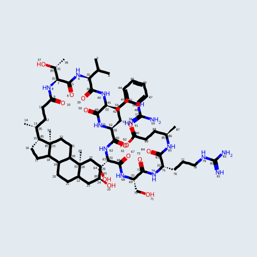 CC(C)[C@H](NC(=O)[C@@H](NC(=O)CC[C@@H](C)[C@H]1CCC2C3CCC4C[C@H](O)CC[C@]4(C)C3CC[C@@]21C)[C@@H](C)O)C(=O)N[C@@H](Cc1ccccc1)C(=O)N[C@@H](CCCNC(=N)N)C(=O)N[C@@H](CO)C(=O)N[C@@H](CO)C(=O)N[C@@H](CCCNC(=N)N)C(=O)N[C@H](C)CCC(=O)O